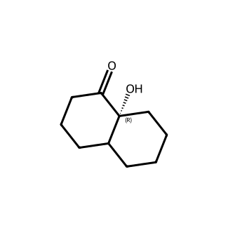 O=C1CCCC2CCCC[C@]12O